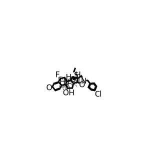 CCSC(=O)[C@@]12ON(Cc3ccc(Cl)cc3)C[C@@H]1C[C@H]1[C@@H]3C[C@H](F)C4=CC(=O)C=C[C@]4(C)[C@@]3(F)[C@@H](O)C[C@@]12C